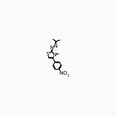 CC(C)=NN=c1scc(-c2ccc([N+](=O)[O-])cc2)n1C